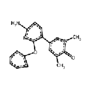 Cc1cc(-c2ccc(N)nc2Oc2ccccc2)cn(C)c1=O